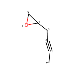 CC#CCC1CO1